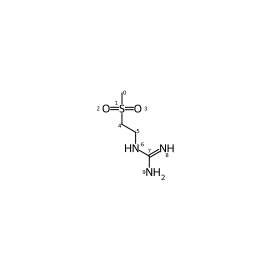 CS(=O)(=O)CCNC(=N)N